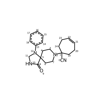 N#CC1(N2CCC3(CC2)C(=O)NCN3c2ccccc2)CCC=CCC1